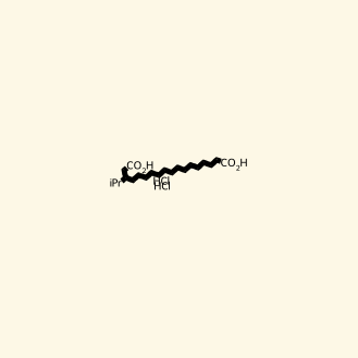 CC(C)C(CCCCCCCCCCCCCCC(=O)O)CC(=O)O.Cl.Cl